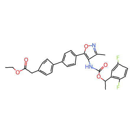 CCOC(=O)Cc1ccc(-c2ccc(-c3onc(C)c3NC(=O)OC(C)c3cc(F)ccc3F)cc2)cc1